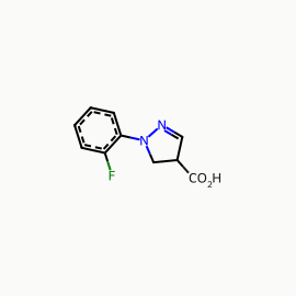 O=C(O)C1C=NN(c2ccccc2F)C1